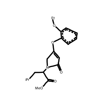 CCOc1ccccc1OC1=CC(=O)N(C(CC(C)C)C(=O)OC)C1